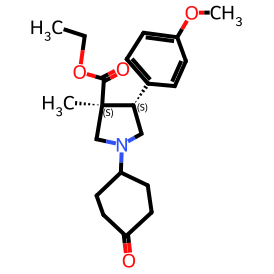 CCOC(=O)[C@]1(C)CN(C2CCC(=O)CC2)C[C@H]1c1ccc(OC)cc1